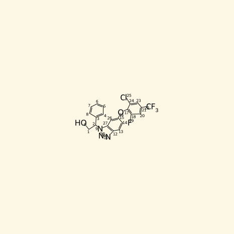 OCC(c1ccccc1)n1nnc2ccc(Oc3c(F)cc(C(F)(F)F)cc3Cl)cc21